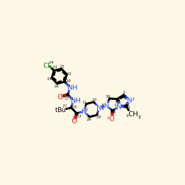 Cc1ncc2n1C(=O)N(N1CCN(C(=O)C(NC(=O)Nc3ccc(Cl)cc3)C(C)(C)C)CC1)C2